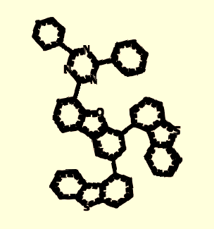 c1ccc(-c2nc(-c3ccccc3)nc(-c3cccc4c3oc3c(-c5cccc6sc7ccccc7c56)cc(-c5cccc6sc7ccccc7c56)cc34)n2)cc1